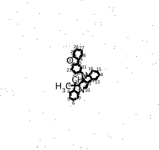 CC1(C)c2ccccc2-n2cc3c4ccccc4n(-c4ccc5oc6ccccc6c5c4)c3c21